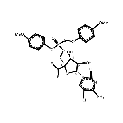 COc1ccc(OSP(=O)(OC[C@@]2(C(F)F)O[C@@H](n3cc(Cl)c(N)nc3=O)[C@H](O)[C@@H]2O)Oc2ccc(OC)cc2)cc1